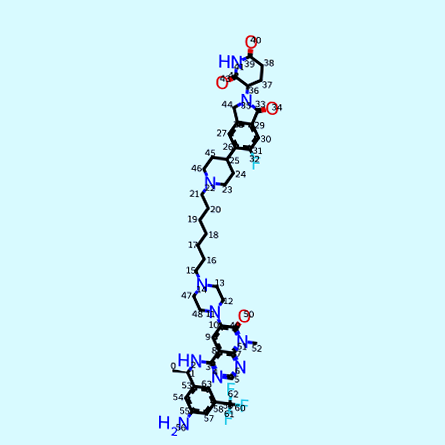 C[C@@H](Nc1ncnc2c1cc(N1CCN(CCCCCCCN3CCC(c4cc5c(cc4F)C(=O)N(C4CCC(=O)NC4=O)C5)CC3)CC1)c(=O)n2C)c1cc(N)cc(C(F)(F)F)c1